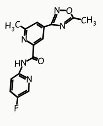 Cc1cc(-c2noc(C)n2)cc(C(=O)Nc2ccc(F)cn2)n1